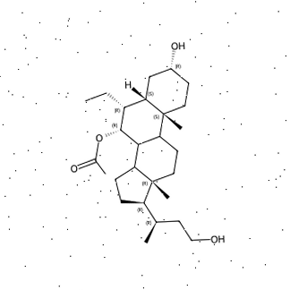 CC[C@H]1[C@@H](OC(C)=O)C2C3CC[C@H]([C@H](C)CCO)[C@@]3(C)CCC2[C@@]2(C)CC[C@@H](O)C[C@@H]12